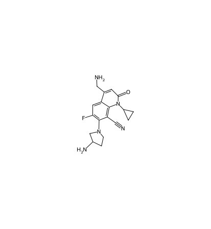 N#Cc1c(N2CCC(N)C2)c(F)cc2c(CN)cc(=O)n(C3CC3)c12